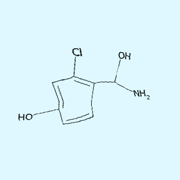 NC(O)c1ccc(O)cc1Cl